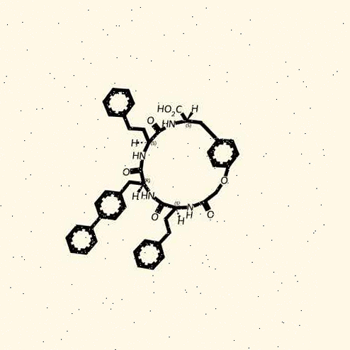 O=C1COc2ccc(cc2)C[C@@H](C(=O)O)NC(=O)[C@H](CCc2ccccc2)NC(=O)[C@@H](Cc2ccc(-c3ccccc3)cc2)NC(=O)[C@H](CCc2ccccc2)N1